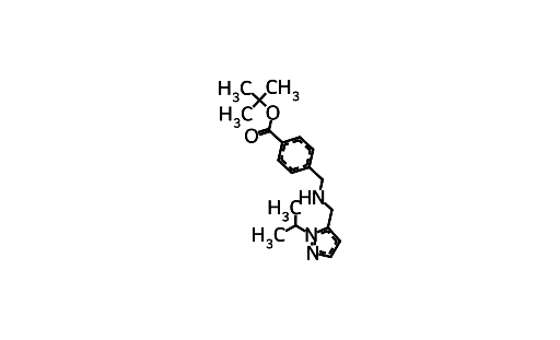 CC(C)n1nccc1CNCc1ccc(C(=O)OC(C)(C)C)cc1